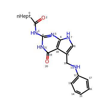 CCCCCCCC(=O)Nc1nc2[nH]cc(CNc3ccccc3)c2c(=O)[nH]1